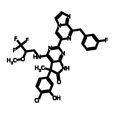 COC(CNc1nc(-c2cn3ccnc3c(Cc3cccc(F)c3)n2)nc2c1C(C)(c1ccc(Cl)c(O)c1)C(=O)N2)C(F)(F)F